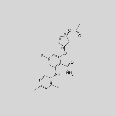 CC(=O)O[C@@H]1C=C[C@H](Oc2cc(F)cc(Nc3ccc(I)cc3F)c2C(N)=O)C1